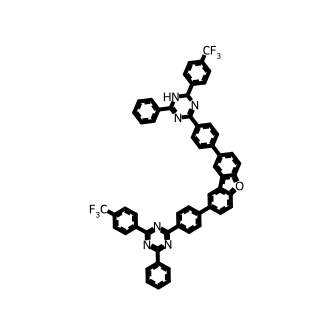 FC(F)(F)c1ccc(-c2nc(-c3ccccc3)nc(-c3ccc(-c4ccc5oc6ccc(-c7ccc(C8=NC(c9ccc(C(F)(F)F)cc9)NC(c9ccccc9)=N8)cc7)cc6c5c4)cc3)n2)cc1